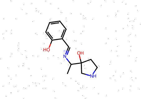 CC(/N=C/c1ccccc1O)C1(O)CCNC1